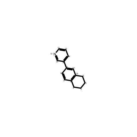 [CH]1CCCc2ccc(-c3cccnc3)cc21